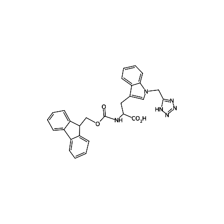 O=C(NC(Cc1cn(Cc2nnn[nH]2)c2ccccc12)C(=O)O)OCC1c2ccccc2-c2ccccc21